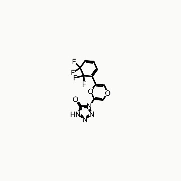 O=c1[nH]nnn1C1=COC=C(C2=CC=CC(F)(F)C2(F)F)O1